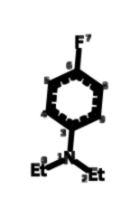 CCN(CC)c1ccc(F)cc1